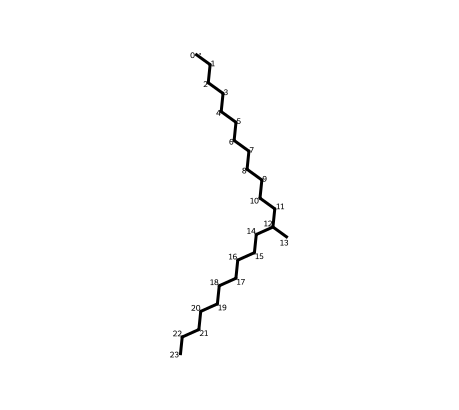 [CH2]CCCCCCCCCCCC(C)CCCCCCCCCC